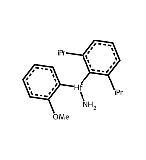 COc1cccc[c]1[Hf]([NH2])[c]1c(C(C)C)cccc1C(C)C